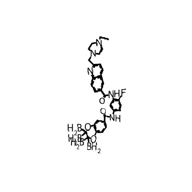 BC1(B)Oc2ccc(C(=O)Nc3ccc(F)c(NC(=O)c4ccc5nc(CN6CCN(CC)CC6)ccc5c4)c3)cc2OC1(B)B